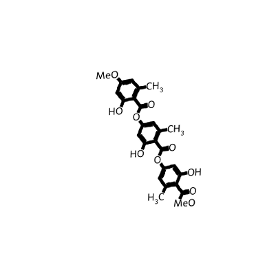 COC(=O)c1c(C)cc(OC(=O)c2c(C)cc(OC(=O)c3c(C)cc(OC)cc3O)cc2O)cc1O